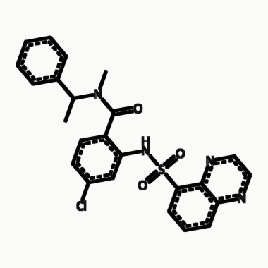 CC(c1ccccc1)N(C)C(=O)c1ccc(Cl)cc1NS(=O)(=O)c1cccc2nccnc12